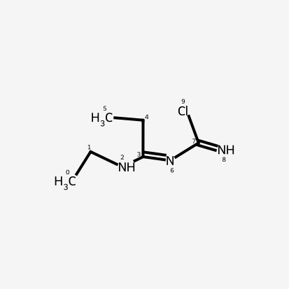 CCN/C(CC)=N/C(=N)Cl